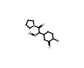 O=C1CC(C(N=P)C(=O)N2CCCC2)CCC1Br